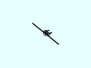 CCCCCCCCCCCCCCCCCC(OOCCCC)OC(=O)OC(CCCCCCCCCCCCCCCCC)OOCCCC